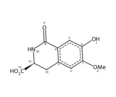 COc1cc2c(cc1O)C(=O)N[C@H](C(=O)O)C2